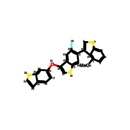 COc1cccc2scc(-c3cc4scc(Oc5ccc6ccsc6c5)c4cc3F)c12